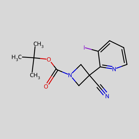 CC(C)(C)OC(=O)N1CC(C#N)(c2ncccc2I)C1